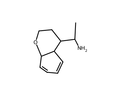 CC(N)C1CCOC2C=CC=CC21